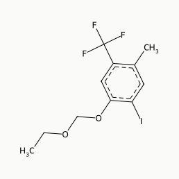 CCOCOc1cc(C(F)(F)F)c(C)cc1I